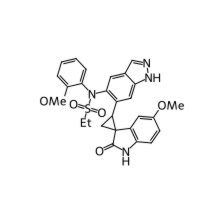 CCS(=O)(=O)N(c1ccccc1OC)c1cc2cn[nH]c2cc1C1CC12C(=O)Nc1ccc(OC)cc12